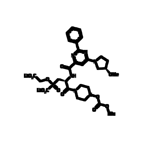 CCCCOC(=O)ON1CCN(C(=O)[C@H](CP(=O)(OCC(=O)OCC)C(=O)OCC)NC(=O)c2cc(N3CC[C@H](OC)C3)nc(-c3ccccc3)n2)CC1